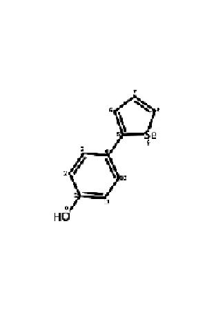 Oc1ccc(-c2ccc[se]2)cc1